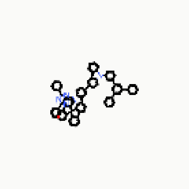 c1ccc(-c2cc(-c3ccccc3)cc(-c3cccc(-n4c5ccccc5c5cc(-c6ccc7c(c6)c6ccc8c(c6n7-c6nc(-c7ccccc7)nc(-c7ccccc7)n6)C6(c7ccccc7-c7ccccc76)c6ccccc6-8)ccc54)c3)c2)cc1